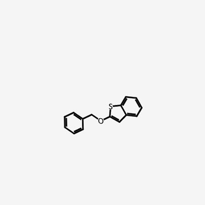 c1ccc(COc2cc3ccccc3s2)cc1